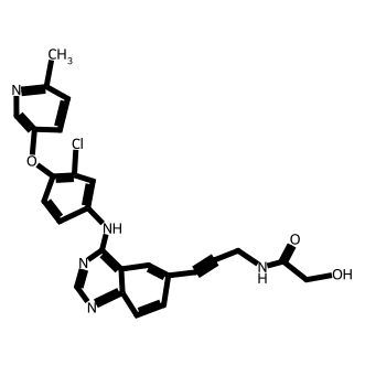 Cc1ccc(Oc2ccc(Nc3ncnc4ccc(C#CCNC(=O)CO)cc34)cc2Cl)cn1